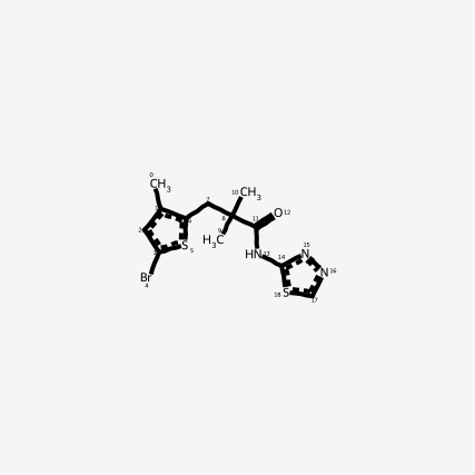 Cc1cc(Br)sc1CC(C)(C)C(=O)Nc1nncs1